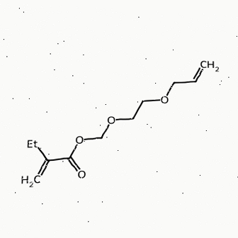 C=CCOCCOCOC(=O)C(=C)CC